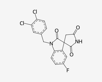 O=C1CC2(C(=O)N1)C(=O)N(Cc1ccc(Cl)c(Cl)c1)c1ccc(F)cc12